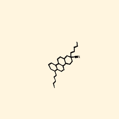 CCCCCC1CCCC2C1CCC1C3CCC(C#N)(CCCCC)CC3CCC21